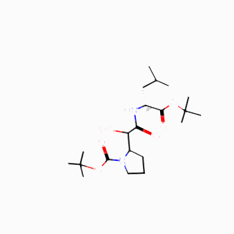 CC(C)C[C@@H](NC(=O)C(O)C1CCCN1C(=O)OC(C)(C)C)C(=O)OC(C)(C)C